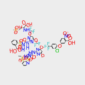 CCS(=O)(=O)c1cccnc1S(=O)(=O)NC(=O)Nc1nc(OC)cc(OC)n1.CP(=O)(O)CCC(N)C(=O)O.O=C(Nc1nc(OC(F)F)cc(OC(F)F)n1)NS(=O)(=O)c1ccccc1C(=O)O.O=C(O)c1cc(Oc2ccc(C(F)(F)F)cc2Cl)ccc1[N+](=O)[O-]